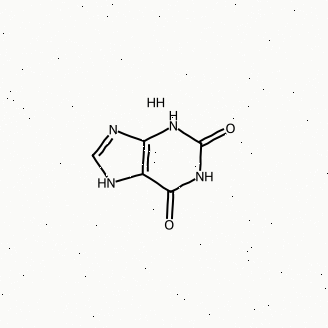 O=c1[nH]c(=O)c2[nH]cnc2[nH]1.[HH]